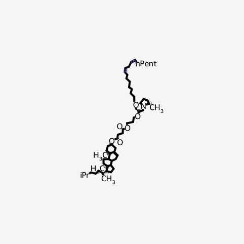 CCCCC/C=C\C/C=C\CCCCCCCCOC[C@@H](CN1CCC[C@@H]1C)OCCCOC(=O)CCC(=O)O[C@H]1CC[C@@]2(C)C(=CCC3C2CC[C@@]2(C)C3CC[C@@H]2C(C)CCCC(C)C)C1